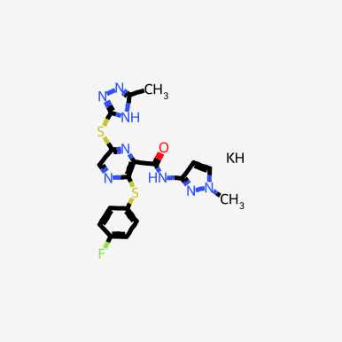 Cc1nnc(Sc2cnc(Sc3ccc(F)cc3)c(C(=O)Nc3ccn(C)n3)n2)[nH]1.[KH]